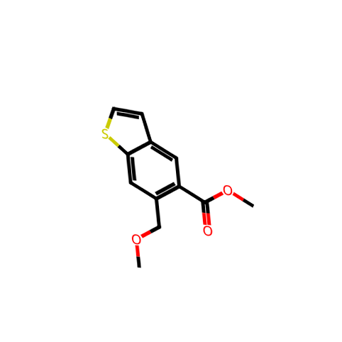 COCc1cc2sccc2cc1C(=O)OC